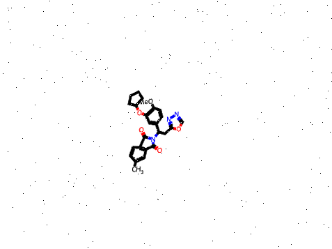 COc1ccc(C(Cc2nnco2)N2C(=O)c3ccc(C)cc3C2=O)cc1OC1CCCC1